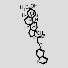 C[C@@]1(O)CC[C@@]2(C)[C@@H](CC[C@@H]3[C@@H]2CC[C@]2(C)[C@@H](C(=O)COc4ccc5ncccc5c4)CC[C@@H]32)C1